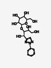 OCC(O)C(OC1OC(CO)C(O)C(O)C1O)C(O)c1cnn(-c2ccccc2)n1